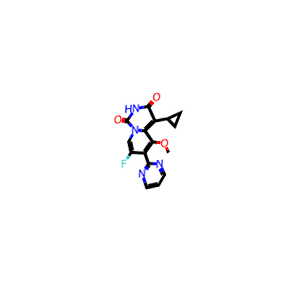 COc1c(-c2ncccn2)c(F)cn2c(=O)[nH]c(=O)c(C3CC3)c12